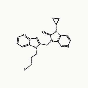 O=c1n(Cc2nc3ncccc3n2CCCF)c2cnccc2n1C1CC1